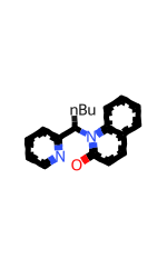 CCCCC(c1ccccn1)n1c(=O)ccc2ccccc21